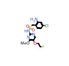 COc1nc(NS(=O)(=O)Cc2ccc(Cl)cc2N)ncc1OCCF